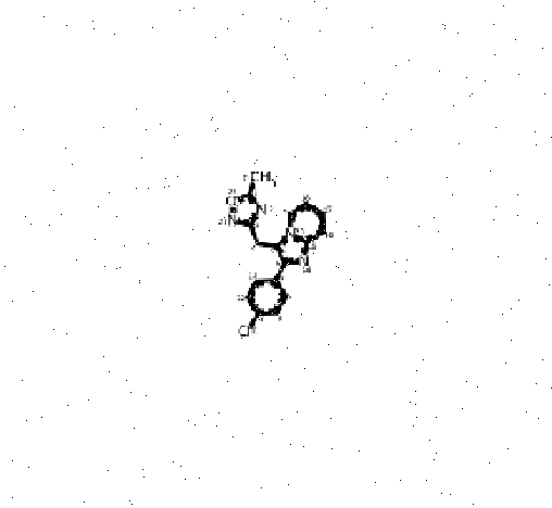 Cc1nc(Cc2c(-c3ccc(Cl)cc3)nc3ccccn23)no1